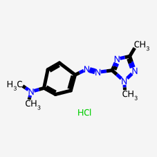 Cc1nc(N=Nc2ccc(N(C)C)cc2)n(C)n1.Cl